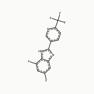 Fc1cc(F)c2[nH]c(-c3ccc(C(F)(F)F)nc3)nc2c1